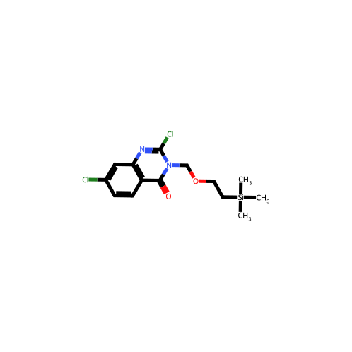 C[Si](C)(C)CCOCn1c(Cl)nc2cc(Cl)ccc2c1=O